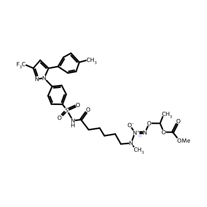 COC(=O)OC(C)O/N=[N+](\[O-])N(C)CCCCCC(=O)NS(=O)(=O)c1ccc(-n2nc(C(F)(F)F)cc2-c2ccc(C)cc2)cc1